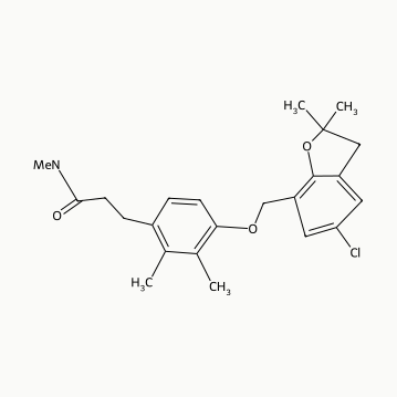 CNC(=O)CCc1ccc(OCc2cc(Cl)cc3c2OC(C)(C)C3)c(C)c1C